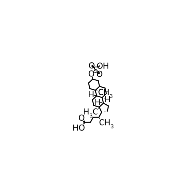 C[C@H](CCC(=O)O)[C@H]1CC[C@H]2[C@@H]3CCC4C[C@H](OS(=O)(=O)O)CC[C@]4(C)[C@H]3CC[C@]12C